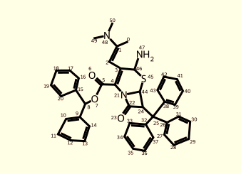 CC(=CC1=C(C(=O)OC(c2ccccc2)c2ccccc2)N2C(=O)C(C(c3ccccc3)(c3ccccc3)c3ccccc3)C2SC1N)N(C)C